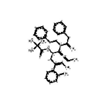 C=C(Cc1ccccc1)N(CCc1ccccc1)C(=C=CC)[C@@H](C/C(=C/C)c1ccccc1C)NC(=O)C(C)(C)N